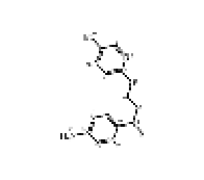 CCc1cnc(OCCC(C)c2cnc(N)cn2)cn1